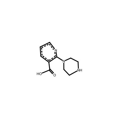 O=C(O)c1cccnc1N1CCNCC1